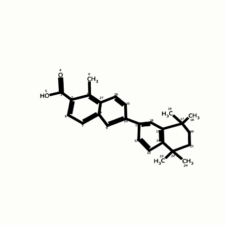 Cc1c(C(=O)O)ccc2cc(-c3ccc4c(c3)C(C)(C)CCC4(C)C)ccc12